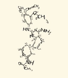 COc1cc(Nc2nc(N)c3scc(-c4cccc(NC(C)=O)c4)c3n2)cc(OC)c1OC